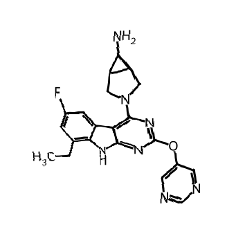 CCc1cc(F)cc2c1[nH]c1nc(Oc3cncnc3)nc(N3CC4C(N)C4C3)c12